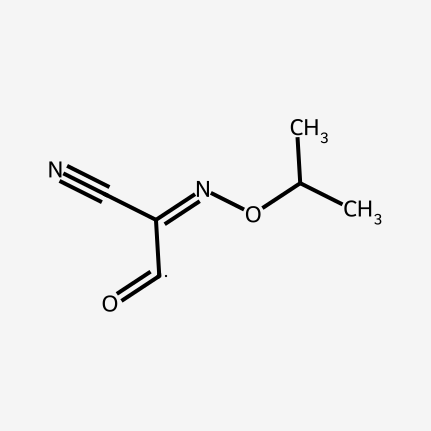 CC(C)ON=C([C]=O)C#N